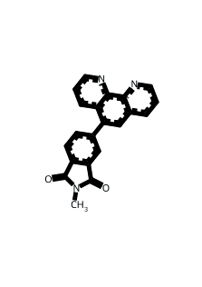 CN1C(=O)c2ccc(-c3cc4cccnc4c4ncccc34)cc2C1=O